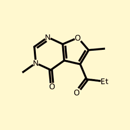 CCC(=O)c1c(C)oc2ncn(C)c(=O)c12